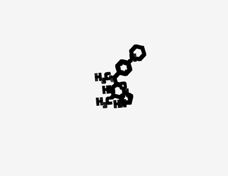 CC(NC(=O)[C@H](C)c1ccc(N2CCCCC2)cc1)c1ncc[nH]1